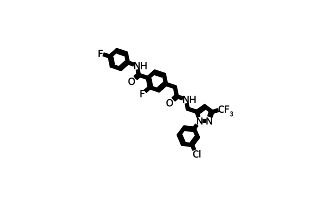 O=C(Cc1ccc(C(=O)Nc2ccc(F)cc2)c(F)c1)NCc1cc(C(F)(F)F)nn1-c1cccc(Cl)c1